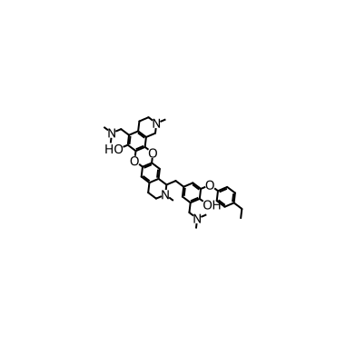 CCc1ccc(Oc2cc(CC3c4cc5c(cc4CCN3C)Oc3c(O)c(CN(C)C)c4c(c3O5)CN(C)CC4)cc(CN(C)C)c2O)cc1